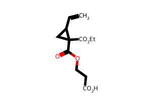 C=CC1CC1(C(=O)OCC)C(=O)OCCC(=O)O